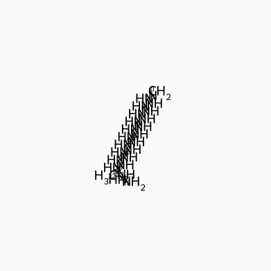 C=NNNNNNNNNNNNNNNNNNNN[C@H](C)NNN